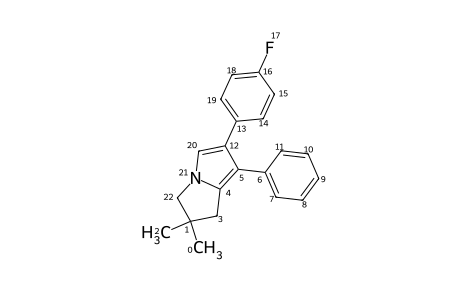 CC1(C)Cc2c(-c3ccccc3)c(-c3ccc(F)cc3)cn2C1